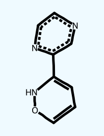 C1=CONC(c2cnccn2)=C1